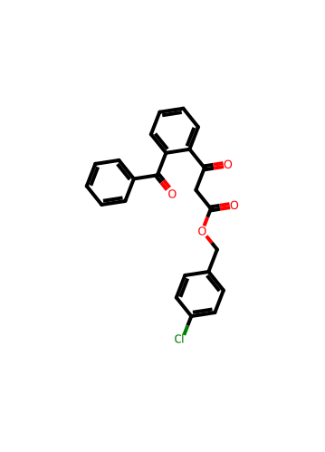 O=C(CC(=O)c1ccccc1C(=O)c1ccccc1)OCc1ccc(Cl)cc1